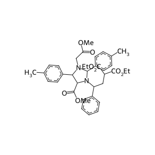 CCOC(=O)C(CC(c1ccccc1)N1C(C(=O)OC)C(c2ccc(C)cc2)N(CC(=O)OC)C1c1ccc(C)cc1)C(=O)OCC